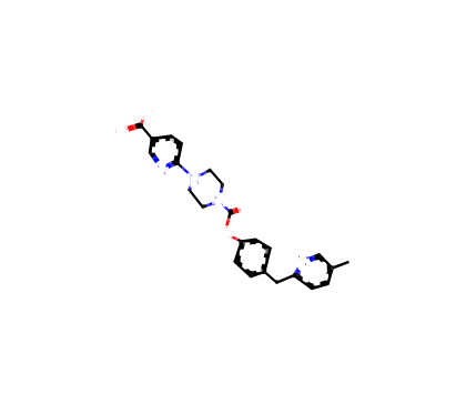 Cc1ccc(Cc2ccc(OC(=O)N3CCN(c4ccc(C(=O)O)cn4)CC3)cc2)nc1